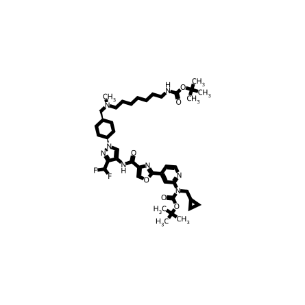 CN(CCCCCCCNC(=O)OC(C)(C)C)C[C@H]1CC[C@H](n2cc(NC(=O)c3coc(-c4ccnc(N(CC5CC5)C(=O)OC(C)(C)C)c4)n3)c(C(F)F)n2)CC1